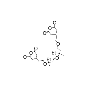 CCC(C)(CCOCCC1CC(=O)OC(=O)C1)OCCC(C)(CC)OCCC1CC(=O)OC(=O)C1